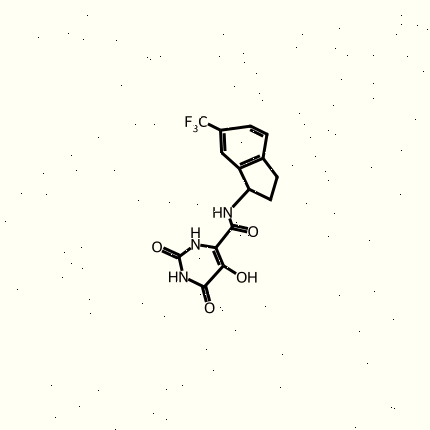 O=C(NC1CCc2ccc(C(F)(F)F)cc21)c1[nH]c(=O)[nH]c(=O)c1O